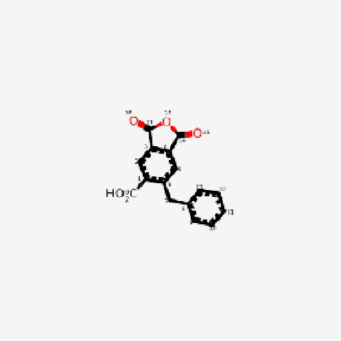 O=C(O)c1cc2c(cc1Cc1ccccc1)C(=O)OC2=O